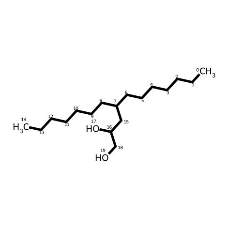 CCCCCCCC(CCCCCCC)CC(O)CO